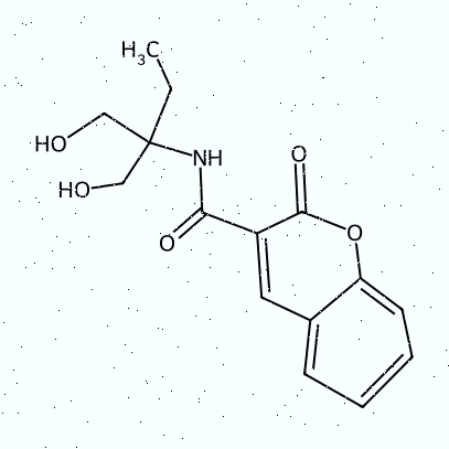 CCC(CO)(CO)NC(=O)c1cc2ccccc2oc1=O